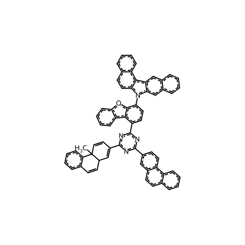 CC12C=CC(c3nc(-c4ccc5c(ccc6ccccc65)c4)nc(-c4ccc(-n5c6cc7ccccc7cc6c6c7ccccc7ccc65)c5oc6ccccc6c45)n3)=CC1C=Cc1ccccc12